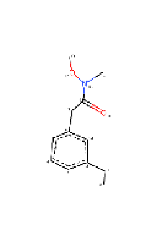 CCc1cccc(CC(=O)N(C)OC)c1